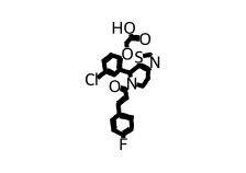 O=C(O)COc1ccc(Cl)cc1C1c2scnc2CCN1C(=O)C=Cc1ccc(F)cc1